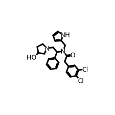 O=C(Cc1ccc(Cl)c(Cl)c1)N(Cc1ccc[nH]1)C(CN1CCC(O)C1)c1ccccc1